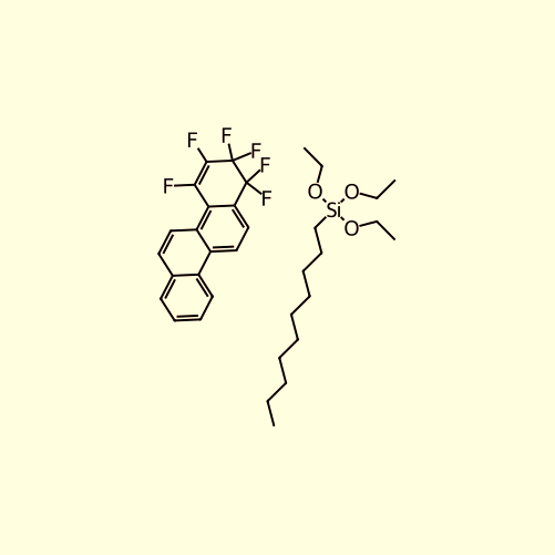 CCCCCCCCCC[Si](OCC)(OCC)OCC.FC1=C(F)C(F)(F)C(F)(F)c2ccc3c(ccc4ccccc43)c21